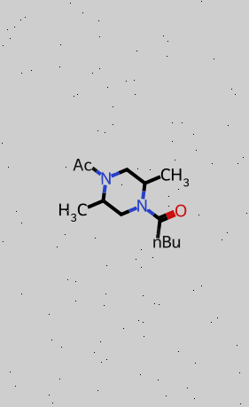 CCCCC(=O)N1CC(C)N(C(C)=O)CC1C